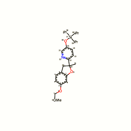 COCOc1ccc2c(c1)OC(C)(c1ccc(O[Si](C(C)C)(C(C)C)C(C)C)cn1)C2